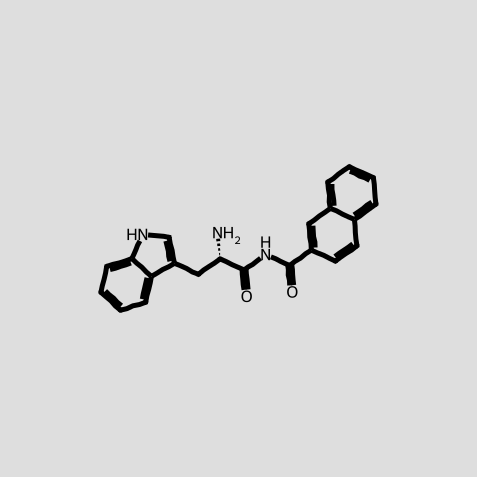 N[C@@H](Cc1c[nH]c2ccccc12)C(=O)NC(=O)c1ccc2ccccc2c1